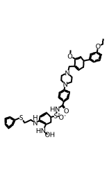 CCOc1cccc(C2C=C(OC)C(CN3CCN(c4ccc(C(=O)N[S+]([O-])C5C=CC(NCCSc6ccccc6)=C(NO)C5)cc4)CC3)=CC2)c1